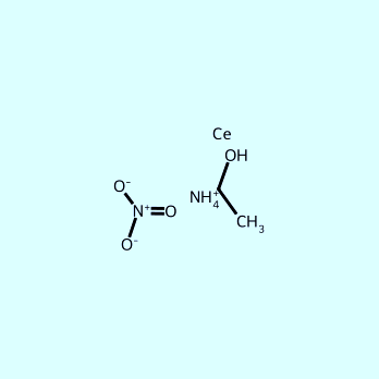 CCO.O=[N+]([O-])[O-].[Ce].[NH4+]